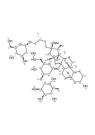 CO[C@]1(CC[C@@H](C)CO[C@@H]2O[C@H](CO)[C@@H](O)[C@H](O)[C@H]2O)O[C@H]2CC3(O[C@@H]4O[C@H](CO)[C@@H](O)[C@H](O[C@@H]5O[C@@H](C)[C@H](O)[C@@H](O)[C@H]5O)[C@H]4O)[C@@H]4CC=C5C[C@@H](O)CC[C@]5(C)[C@H]4CC[C@]3(C)[C@H]2[C@@H]1C